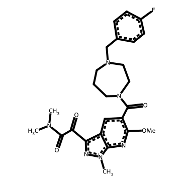 COc1nc2c(cc1C(=O)N1CCCN(Cc3ccc(F)cc3)CC1)c(C(=O)C(=O)N(C)C)nn2C